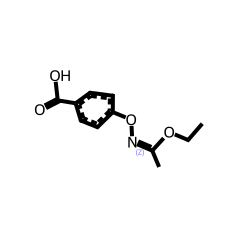 CCO/C(C)=N\Oc1ccc(C(=O)O)cc1